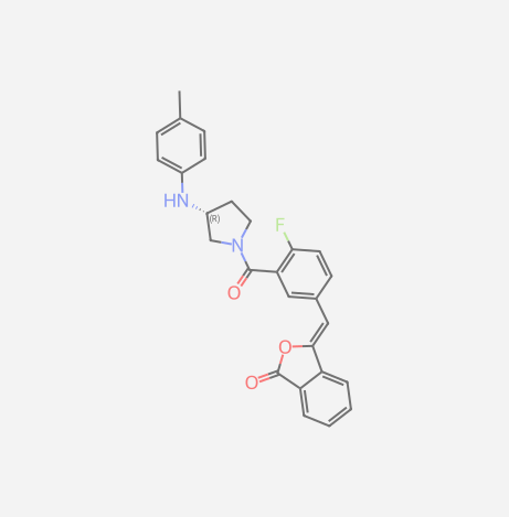 Cc1ccc(N[C@@H]2CCN(C(=O)c3cc(C=C4OC(=O)c5ccccc54)ccc3F)C2)cc1